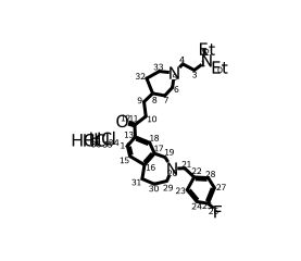 CCN(CC)CCN1CCC(CCC(=O)c2ccc3c(c2)CN(Cc2ccc(F)cc2)CCC3)CC1.Cl.Cl.Cl